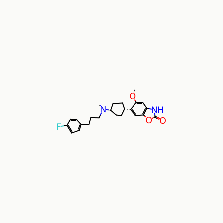 COc1cc2[nH]c(=O)oc2cc1[C@H]1CC[C@H](N(C)CCCc2ccc(F)cc2)CC1